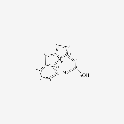 O=C(O)C=c1ccc2cc3ccccc3n12